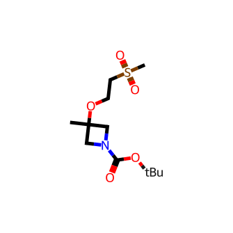 CC(C)(C)OC(=O)N1CC(C)(OCCS(C)(=O)=O)C1